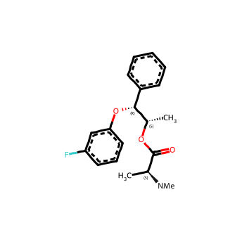 CN[C@@H](C)C(=O)O[C@@H](C)[C@H](Oc1cccc(F)c1)c1ccccc1